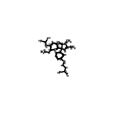 CN1C(=O)C(c2cccc(OCCC(F)F)c2)(c2ccc(OC(F)F)c(CN)c2)N=C1N